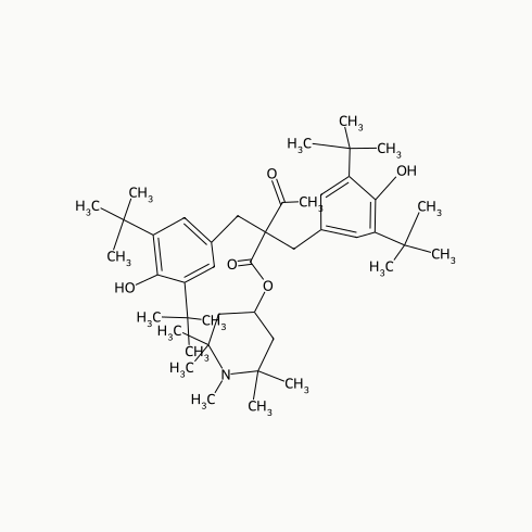 CC(=O)C(Cc1cc(C(C)(C)C)c(O)c(C(C)(C)C)c1)(Cc1cc(C(C)(C)C)c(O)c(C(C)(C)C)c1)C(=O)OC1CC(C)(C)N(C)C(C)(C)C1